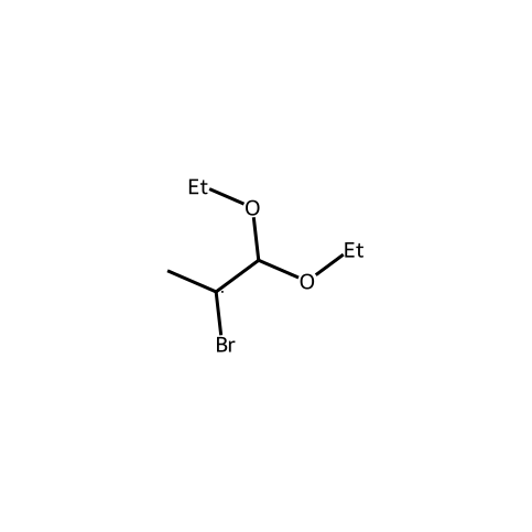 CCOC(OCC)[C](C)Br